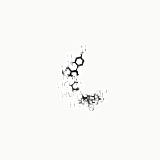 N#Cc1ccc2c(c1)Nc1ncnc3c1c-2cn3[C@@H]1O[C@H](COP(=O)(O)OP(=O)(O)OP(=O)(O)O)[C@H](O)C1O